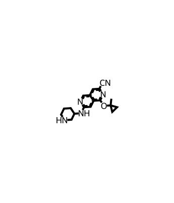 CC1(Oc2nc(C#N)cc3cnc(NC4CCCNC4)cc23)CC1